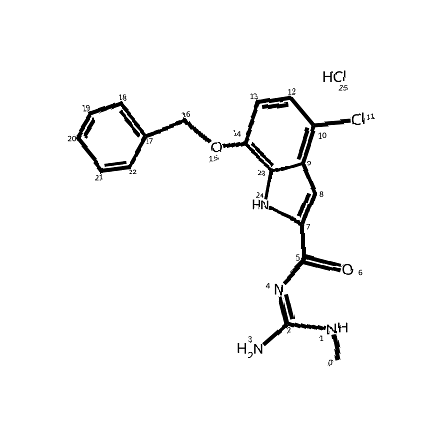 CNC(N)=NC(=O)c1cc2c(Cl)ccc(OCc3ccccc3)c2[nH]1.Cl